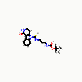 CC(C)(C)OC(=O)NCCCNC(=S)n1c2c(c3ccccc31)C(=O)NCC2